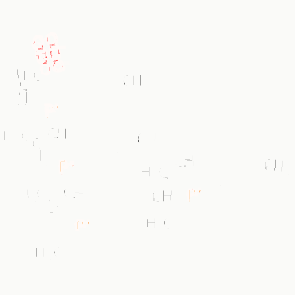 CCCCCCCCCCCCCC[P+](CCCCCC)(CCCCCC)CCCCCC.CCCCCCCCCCCCCC[P+](CCCCCC)(CCCCCC)CCCCCC.CCCCCCCCCCCCCC[P+](CCCCCC)(CCCCCC)CCCCCC.CCCCCCCCCCCCCC[P+](CCCCCC)(CCCCCC)CCCCCC.O=C([O-])C(=O)[O-].O=C([O-])C(=O)[O-]